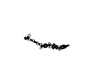 C=C(C)C(=O)OCCOCCOCCOC(=O)c1ccc(C(=O)Oc2ccc3c(c2)C(C)(C)c2cc(OC(=O)c4ccc(C)cc4)ccc2-3)cc1